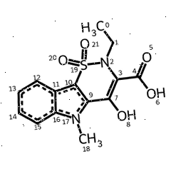 CCN1C(C(=O)O)=C(O)c2c(c3ccccc3n2C)S1(=O)=O